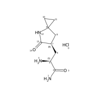 Cl.NC(=O)[C@@H](N)C[C@@H]1CC2(CC2)NC1=O